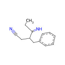 CCC(=N)C(CC#N)Cc1ccccc1